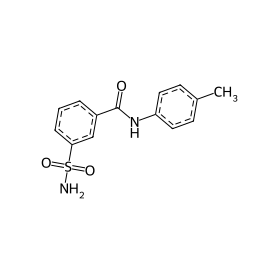 Cc1ccc(NC(=O)c2cccc(S(N)(=O)=O)c2)cc1